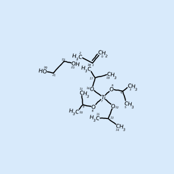 C=CC.CC(C)[O][Ti]([O]C(C)C)([O]C(C)C)[O]C(C)C.OCCO